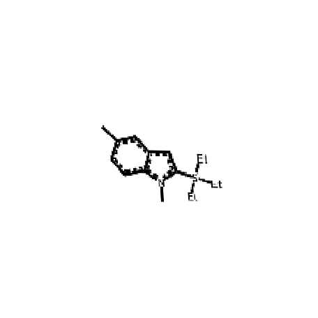 CCS(CC)(CC)c1cc2cc(C)ccc2n1C